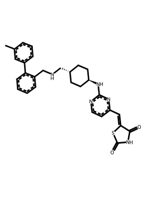 Cc1cccc(-c2ccccc2CNC[C@H]2CC[C@H](Nc3nccc(/C=C4\SC(=O)NC4=O)n3)CC2)c1